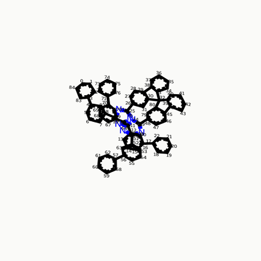 c1ccc(-c2cccc(-c3nc(-c4cccc(-c5ccccc5)c4)nc(-c4ccc5c(c4)C4(c6ccccc6-5)c5ccccc5-c5ccc(-c6nc(-c7cccc(-c8ccccc8)c7)nc(-c7cccc(-c8ccccc8)c7)n6)cc54)n3)c2)cc1